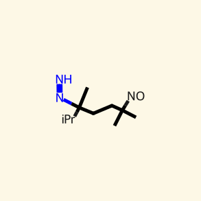 CC(C)C(C)(CCC(C)(C)N=O)N=N